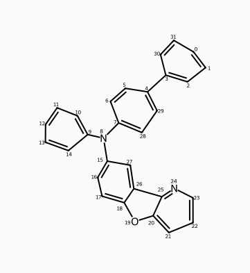 c1ccc(-c2ccc(N(c3ccccc3)c3ccc4oc5cccnc5c4c3)cc2)cc1